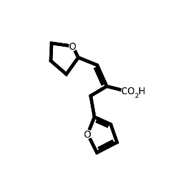 O=C(O)/C(=C/C1CCCO1)Cc1ccco1